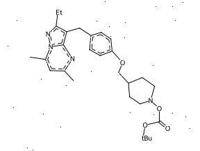 CCc1nn2c(C)cc(C)nc2c1Cc1ccc(OCC2CCN(OC(=O)OC(C)(C)C)CC2)cc1